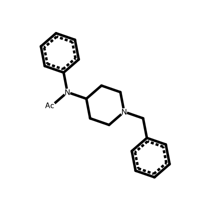 CC(=O)N(c1ccccc1)C1CCN(Cc2ccccc2)CC1